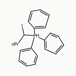 CCCC(I)[PH](c1ccccc1)(c1ccccc1)c1ccccc1